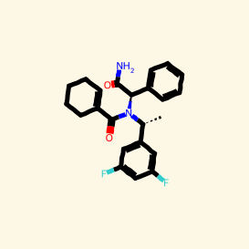 C[C@H](c1cc(F)cc(F)c1)N(C(=O)C1=CCCCC1)[C@@H](C(N)=O)c1ccccc1